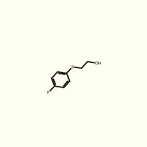 OCCSc1ccc(F)cc1